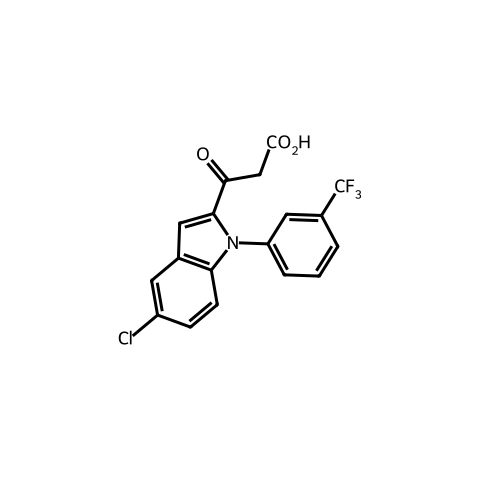 O=C(O)CC(=O)c1cc2cc(Cl)ccc2n1-c1cccc(C(F)(F)F)c1